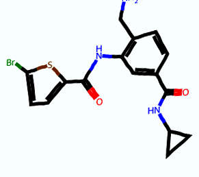 NCc1ccc(C(=O)NC2CC2)cc1NC(=O)c1ccc(Br)s1